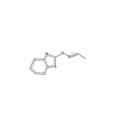 C/C=N/Oc1nc2ccccc2s1